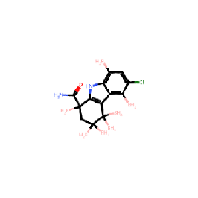 Bc1cc(Cl)c(B)c2c3c([nH]c12)C(B)(C(N)=O)CC(B)(B)C3(B)B